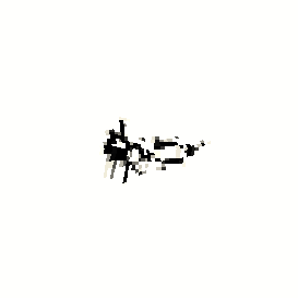 CC(C)N1CCN(C(=O)Cc2c(F)cccc2F)CC1